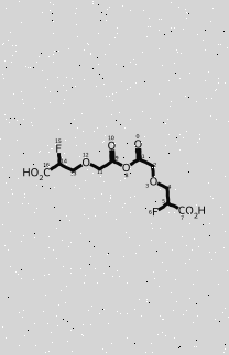 O=C(COCC(F)C(=O)O)OC(=O)COCC(F)C(=O)O